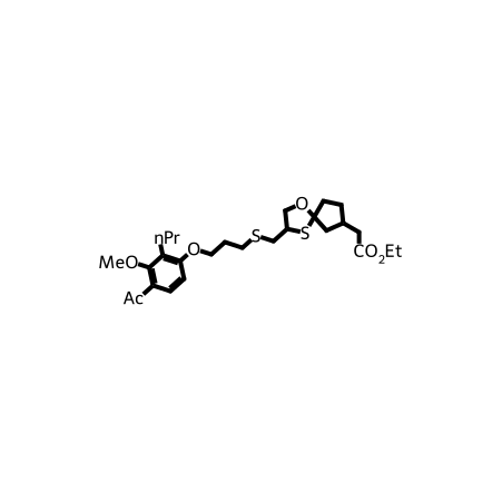 CCCc1c(OCCCSCC2COC3(CCC(CC(=O)OCC)C3)S2)ccc(C(C)=O)c1OC